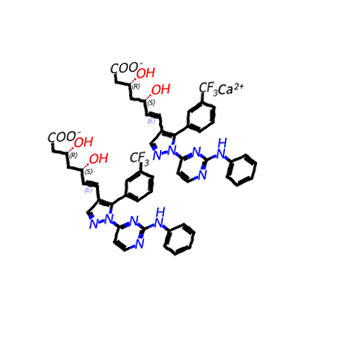 O=C([O-])C[C@H](O)C[C@H](O)/C=C/c1cnn(-c2ccnc(Nc3ccccc3)n2)c1-c1cccc(C(F)(F)F)c1.O=C([O-])C[C@H](O)C[C@H](O)/C=C/c1cnn(-c2ccnc(Nc3ccccc3)n2)c1-c1cccc(C(F)(F)F)c1.[Ca+2]